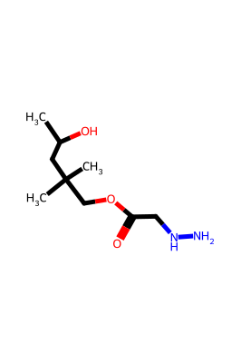 CC(O)CC(C)(C)COC(=O)CNN